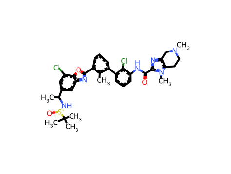 Cc1c(-c2nc3cc(C(C)N[S+]([O-])C(C)(C)C)cc(Cl)c3o2)cccc1-c1cccc(NC(=O)c2nc3c(n2C)CCN(C)C3)c1Cl